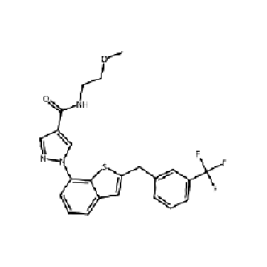 COCCNC(=O)c1cnn(-c2cccc3cc(Cc4cccc(C(F)(F)F)c4)sc23)c1